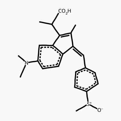 CC1=C(C(C)C(=O)O)c2cc(N(C)C)ccc2C1=Cc1ccc([S+](C)[O-])cc1